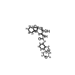 O=C(Cc1cccc2c1COC21CCOCC1)N[C@@H](Cc1coc2ccccc12)B(O)O